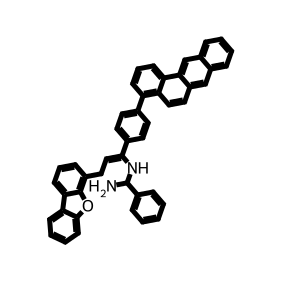 NC(N/C(=C\Cc1cccc2c1oc1ccccc12)c1ccc(-c2cccc3c2ccc2cc4ccccc4cc23)cc1)c1ccccc1